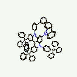 c1ccc(-c2cccc(N3c4ccc([Si](c5ccccc5)(c5ccccc5)c5ccccc5)cc4B4c5cc([Si](c6ccccc6)(c6ccccc6)c6ccccc6)ccc5N(c5ccc([Si](c6ccccc6)(c6ccccc6)c6ccccc6)cc5)c5cc(-n6c7ccccc7c7ccccc76)cc3c54)c2)cc1